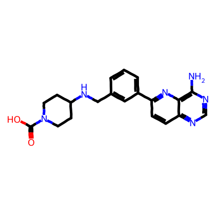 Nc1ncnc2ccc(-c3cccc(CNC4CCN(C(=O)O)CC4)c3)nc12